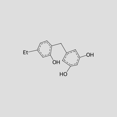 CCc1ccc(Cc2cc(O)cc(O)c2)c(O)c1